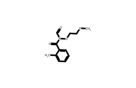 COCCON(C=O)C(=O)c1ccccc1C